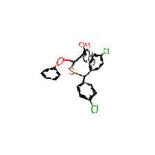 CC(O)C(Oc1ccccc1)SC(c1ccc(Cl)cc1)c1ccc(Cl)cc1